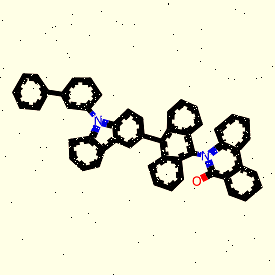 O=c1c2ccccc2c2ccccc2n1-c1c2ccccc2c(-c2ccc3c(c2)c2ccccc2n3-c2cccc(-c3ccccc3)c2)c2ccccc12